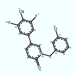 N#Cc1c(F)cc(-c2ccc(=O)n(Cc3cccc(Cl)c3)c2)cc1F